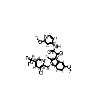 COc1ccc2c(c1)c(C(=O)C(=O)Nc1ccnc(OC)c1)c(C)n2Cc1ncc(C(F)(F)F)cc1Cl